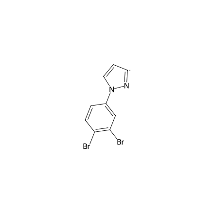 Brc1ccc(-n2cc[c]n2)cc1Br